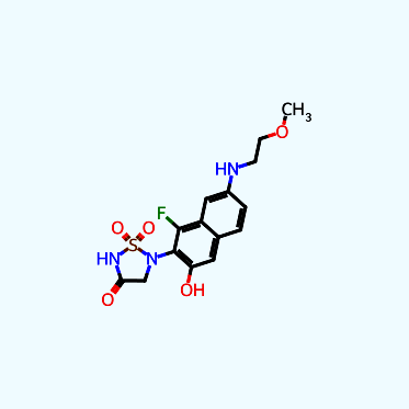 COCCNc1ccc2cc(O)c(N3CC(=O)NS3(=O)=O)c(F)c2c1